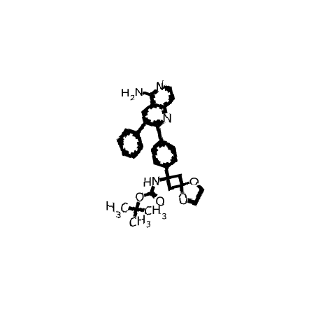 CC(C)(C)OC(=O)NC1(c2ccc(-c3nc4ccnc(N)c4cc3-c3ccccc3)cc2)CC2(C1)OCCO2